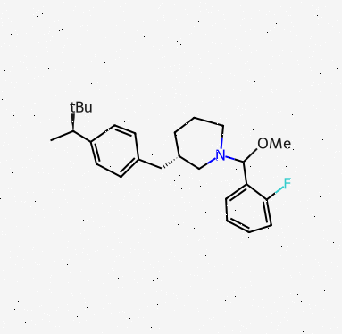 COC(c1ccccc1F)N1CCC[C@@H](Cc2ccc([C@@H](C)C(C)(C)C)cc2)C1